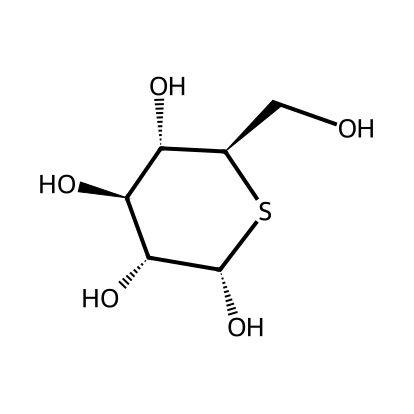 OC[C@H]1S[C@H](O)[C@H](O)[C@@H](O)[C@@H]1O